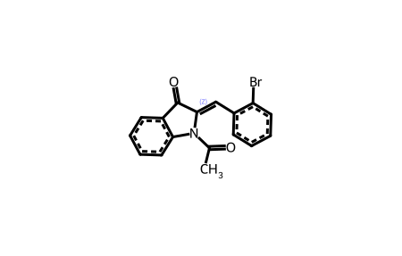 CC(=O)N1/C(=C\c2ccccc2Br)C(=O)c2ccccc21